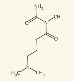 CN(C)CC[CH]C(=O)N(C)C(N)=O